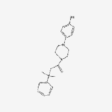 CC(C)(CC(=O)N1CCN(c2ccc(O)cc2)CC1)c1ccccc1